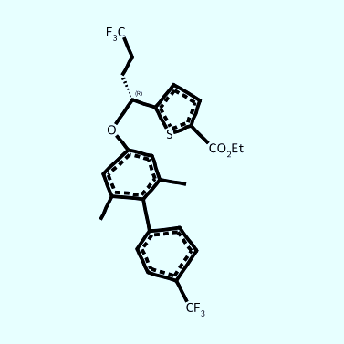 CCOC(=O)c1ccc([C@@H](CCC(F)(F)F)Oc2cc(C)c(-c3ccc(C(F)(F)F)cc3)c(C)c2)s1